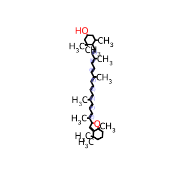 CC(/C=C/C=C(C)/C=C/C1C(C)CC(O)CC1(C)C)=C\C=C\C=C(C)\C=C\C=C(/C)C1C=C2C(C)(C)CCCC2(C)O1